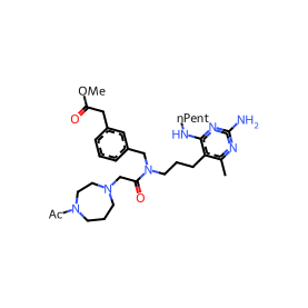 CCCCCNc1nc(N)nc(C)c1CCCN(Cc1cccc(CC(=O)OC)c1)C(=O)CN1CCCN(C(C)=O)CC1